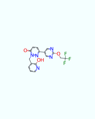 O=c1ccc(-c2cnc(OCC(F)(F)F)nc2)nn1Cc1cccnc1O